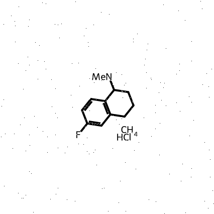 C.CNC1CCCc2cc(F)ccc21.Cl